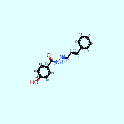 O=C(N/N=C/C=C/c1ccccc1)c1ccc(O)cc1